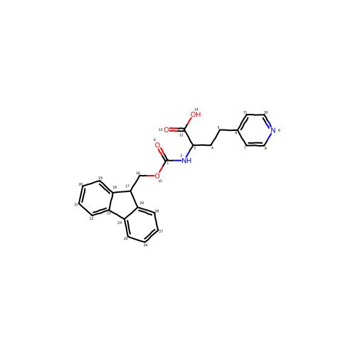 O=C(NC(CCc1ccncc1)C(=O)O)OCC1c2ccccc2-c2ccccc21